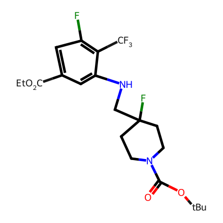 CCOC(=O)c1cc(F)c(C(F)(F)F)c(NCC2(F)CCN(C(=O)OC(C)(C)C)CC2)c1